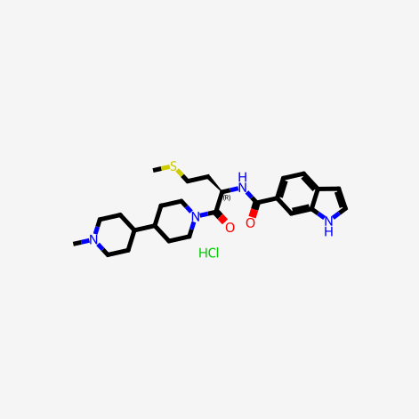 CSCC[C@@H](NC(=O)c1ccc2cc[nH]c2c1)C(=O)N1CCC(C2CCN(C)CC2)CC1.Cl